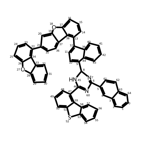 c1ccc2cc(C3=NC(c4ccc(-c5cccc6oc7cc(-c8cccc9oc%10ccccc%10c89)ccc7c56)c5ccccc45)NC(c4cccc5sc6ccccc6c45)=N3)ccc2c1